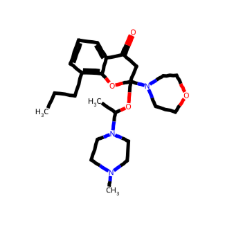 CCCc1cccc2c1OC(OC(C)N1CCN(C)CC1)(N1CCOCC1)CC2=O